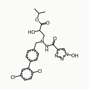 CC(C)OC(=O)C(O)CN(Cc1ccc(-c2cc(Cl)ccc2Cl)cc1)NC(=O)c1cn(O)nn1